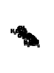 CSC(C)(C)CNC(=O)c1cn2c(nc3cc(CN(CC4CCCO4)C(=O)OC(C)(C)C)ccc32)s1